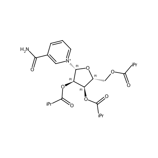 CC(C)C(=O)OC[C@H]1O[C@@H]([n+]2cccc(C(N)=O)c2)[C@H](OC(=O)C(C)C)[C@@H]1OC(=O)C(C)C